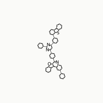 c1ccc(-c2ccc3nc(-c4ccc(-c5cc(-c6cccc(-c7cccc8c7sc7ccccc78)c6)nc(-c6ccccc6)n5)cc4)c4oc5ccccc5c4c3c2)cc1